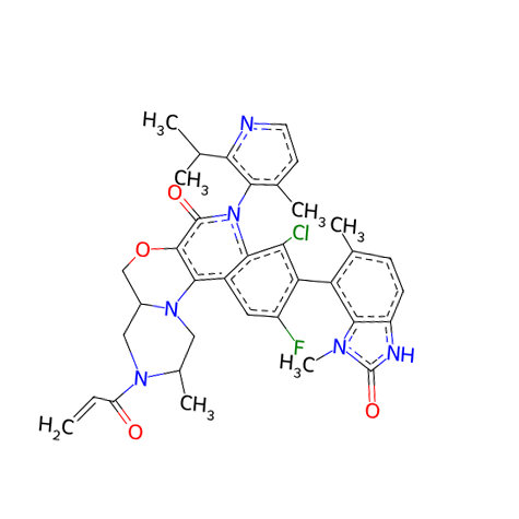 C=CC(=O)N1CC2COc3c(c4cc(F)c(-c5c(C)ccc6[nH]c(=O)n(C)c56)c(Cl)c4n(-c4c(C)ccnc4C(C)C)c3=O)N2CC1C